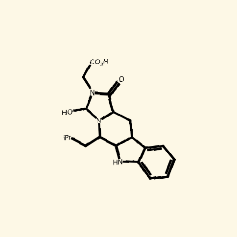 CC(C)CC1C2Nc3ccccc3C2CC2C(=O)N(CC(=O)O)C(O)N21